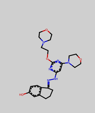 Oc1ccc2c(c1)CCCC2=NNc1cc(N2CCOCC2)nc(OCCN2CCOCC2)n1